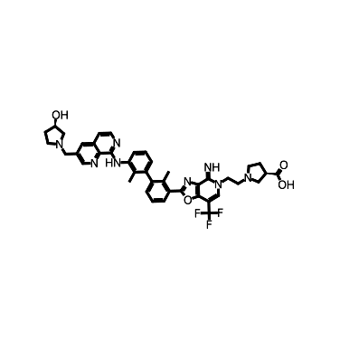 Cc1c(Nc2nccc3cc(CN4CC[C@@H](O)C4)cnc23)cccc1-c1cccc(-c2nc3c(=N)n(CCN4CC[C@@H](C(=O)O)C4)cc(C(F)(F)F)c3o2)c1C